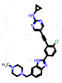 CN1CCN(Cc2ccc3nc(-c4ccc(Cl)c(C#Cc5cnc(NC6CC6)nc5)c4)[nH]c3c2)CC1